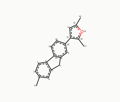 Cc1ccc2c(c1)Cc1cc(-c3cc(C)oc3C)ccc1-2